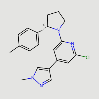 Cc1ccc([C@@H]2CCCN2c2cc(-c3cnn(C)c3)cc(Cl)n2)cc1